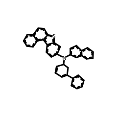 C1=CC(N(c2ccc3ccccc3c2)c2ccc3c(c2)sc2ccc4ccccc4c23)CC(c2ccccc2)=C1